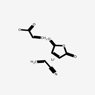 C=CC#N.C=CC(=O)[O-].O=C1C=CC(=O)O1.[Li+]